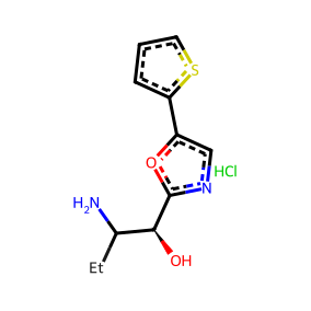 CCC(N)[C@H](O)c1ncc(-c2cccs2)o1.Cl